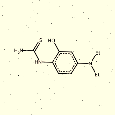 CCN(CC)c1ccc(NC(N)=S)c(O)c1